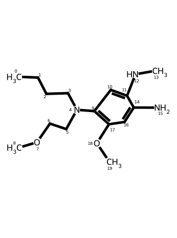 CCCCN(CCOC)c1cc(NC)c(N)cc1OC